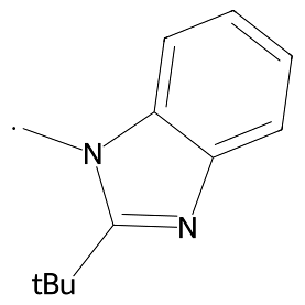 [CH2]n1c(C(C)(C)C)nc2ccccc21